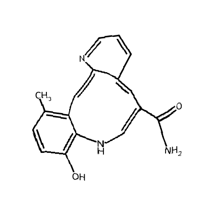 Cc1ccc(O)c2[nH]cc(C(N)=O)cc3cccnc3cc12